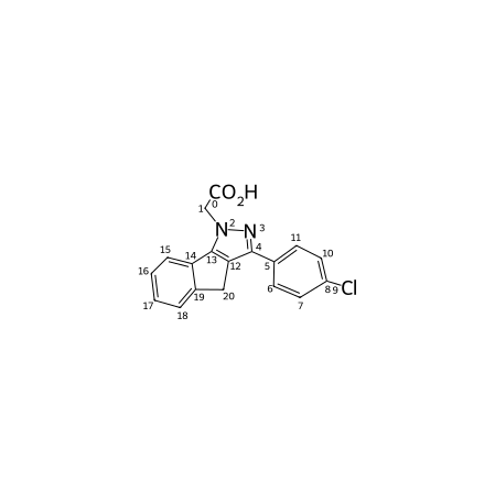 O=C(O)Cn1nc(-c2ccc(Cl)cc2)c2c1-c1ccccc1C2